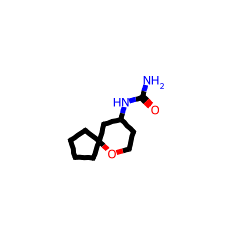 NC(=O)NC1CCOC2(CCCC2)C1